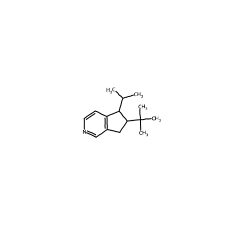 CC(C)C1c2ccncc2CC1C(C)(C)C